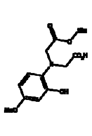 COc1ccc(N(CC(=O)O)CC(=O)OC(C)(C)C)c(O)c1